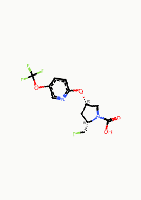 O=C(O)N1C[C@@H](Oc2ccc(OC(F)(F)F)cn2)C[C@H]1CF